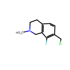 O=C(O)N1CCc2ccc(CCl)c(F)c2C1